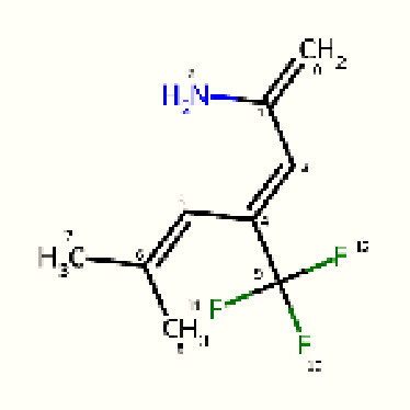 C=C(N)/C=C(\C=C(C)C)C(F)(F)F